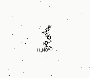 NC(=O)CC(c1cc(Oc2ccc3sc(Nc4ccc(Br)cc4)nc3c2)ccn1)N1CCOCC1